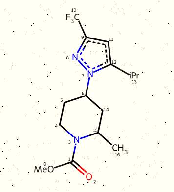 COC(=O)N1CCC(n2nc(C(F)(F)F)cc2C(C)C)CC1C